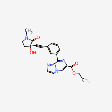 CCOC(=O)c1cn2ccnc2c(-c2cccc(C#C[C@]3(O)CCN(C)C3=O)c2)n1